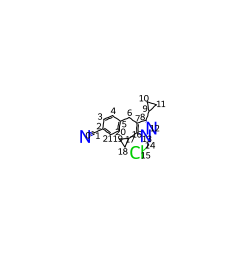 N#Cc1ccc(Cc2c(C3CC3)nn(CCl)c2C2CC2)cc1